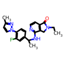 CCN1Cc2c(ccnc2NC(C)c2ccc(-n3ccc(C)n3)c(F)c2)C1=O